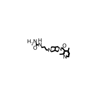 Cc1ccnc(C)c1C(=O)N1CC2CN(CCCNC(N)=O)CC2C1